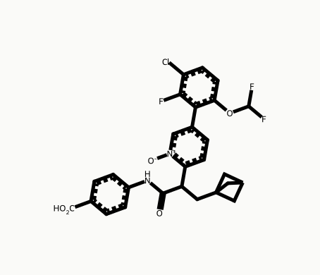 O=C(O)c1ccc(NC(=O)C(CC23CC(C2)C3)c2ccc(-c3c(OC(F)F)ccc(Cl)c3F)c[n+]2[O-])cc1